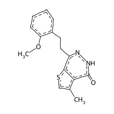 COc1ccccc1CCc1n[nH]c(=O)c2c(C)csc12